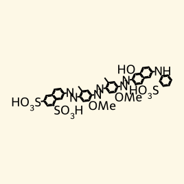 COc1cc(N=Nc2ccc3cc(S(=O)(=O)O)cc(S(=O)(=O)O)c3c2)c(C)cc1N=Nc1cc(OC)c(N=Nc2c(S(=O)(=O)O)cc3cc(Nc4ccccc4)ccc3c2O)cc1C